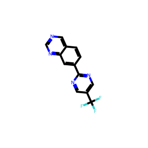 FC(F)(F)c1cnc(-c2ccc3cncnc3c2)nc1